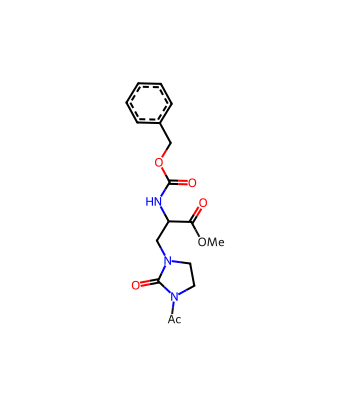 COC(=O)C(CN1CCN(C(C)=O)C1=O)NC(=O)OCc1ccccc1